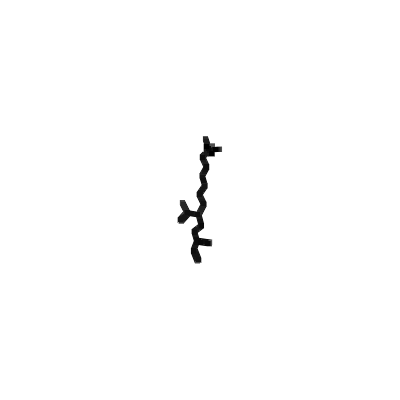 C=CC(=C)CCC(CCCCCCN(C)C)C(=C)C